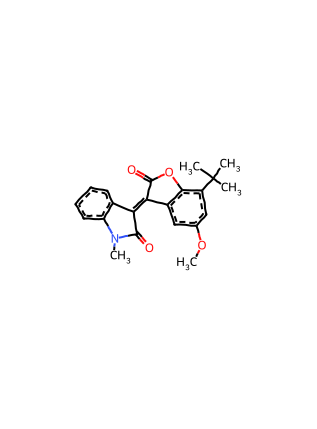 COc1cc2c(c(C(C)(C)C)c1)OC(=O)C2=C1C(=O)N(C)c2ccccc21